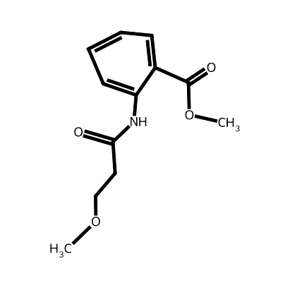 COCCC(=O)Nc1ccccc1C(=O)OC